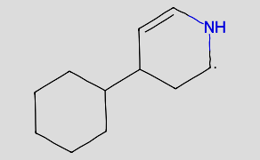 [CH]1CC(C2CCCCC2)C=CN1